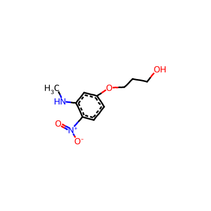 CNc1cc(OCCCO)ccc1[N+](=O)[O-]